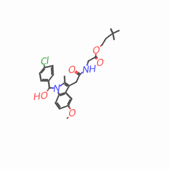 COc1ccc2c(c1)c(CC(=O)NCC(=O)OCCC(C)(C)C)c(C)n2C(O)c1ccc(Cl)cc1